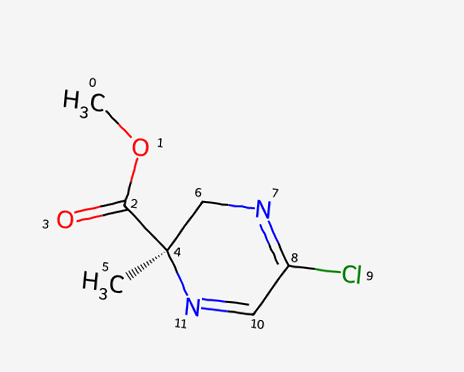 COC(=O)[C@@]1(C)CN=C(Cl)C=N1